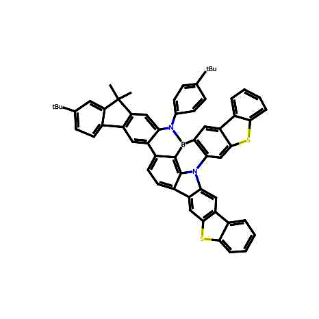 CC(C)(C)c1ccc(N2B3c4cc5c(cc4-n4c6cc7c(cc6c6ccc(c3c64)-c3cc4c(cc32)C(C)(C)c2cc(C(C)(C)C)ccc2-4)sc2ccccc27)sc2ccccc25)cc1